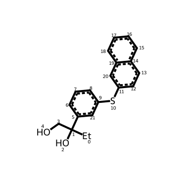 CCC(O)(CO)c1cccc(Sc2ccc3ccccc3c2)c1